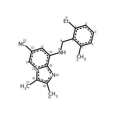 CCc1cccc(C)c1CNc1cc(C#N)cn2c(C)c(C)nc12